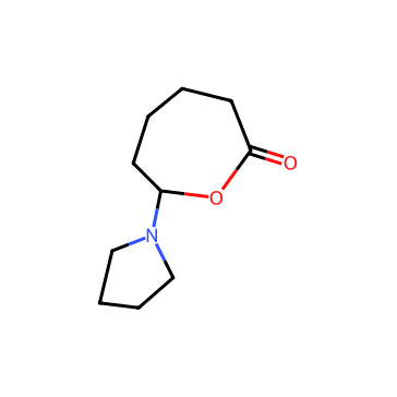 O=C1CCCCC(N2CCCC2)O1